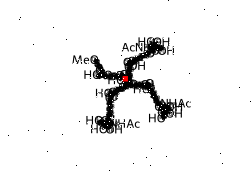 COCCCOCC(CO)COCCCOP(=O)(O)OCC(COCCCOP(=O)(O)OCCCCCCO[C@@H]1OC(CO)[C@H](O)C(O)C1NC(C)=O)(COCCCOP(=O)(O)OCCCCCCO[C@@H]1OC(CO)[C@H](O)[C@H](O)C1NC(C)=O)COCCCOP(=O)(O)OCCCCCCO[C@@H]1OC(CO)[C@H](O)C(O)[C@@H]1NC(C)=O